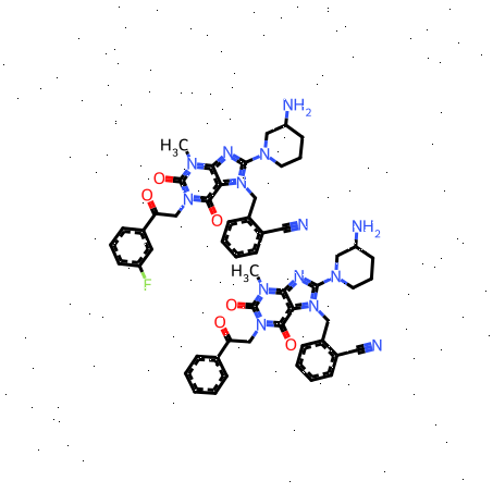 Cn1c(=O)n(CC(=O)c2cccc(F)c2)c(=O)c2c1nc(N1CCCC(N)C1)n2Cc1ccccc1C#N.Cn1c(=O)n(CC(=O)c2ccccc2)c(=O)c2c1nc(N1CCCC(N)C1)n2Cc1ccccc1C#N